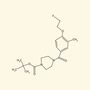 Cc1cc(C(=O)N2CCN(C(=O)OC(C)(C)C)CC2)ccc1OCCF